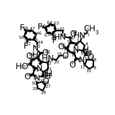 CCNC1C[C@@H]2[C@H]3OC4CCC(C4)N3C(=O)c3c(OCCNC4C[C@H]5[C@H]6OC7CCC(C7)N6C(=O)c6c(O)c(=O)c(C(=O)NCc7ccc(F)cc7F)c4n65)c(=O)c(C(=O)NCc4ccc(F)cc4F)c1n32